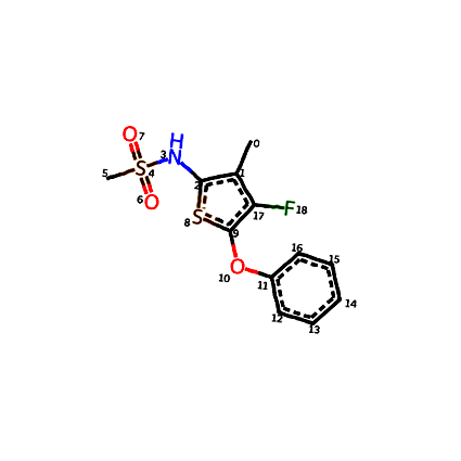 Cc1c(NS(C)(=O)=O)sc(Oc2ccccc2)c1F